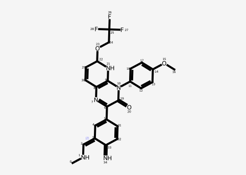 CN/C=C1/C=C(c2nc3c(n(-c4ccc(OC)cc4)c2=O)NC(OCC(F)(F)F)C=C3)C=CC1=N